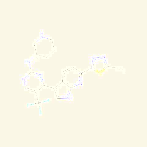 Cc1nnc(-c2ccc3c(-c4nc(N[C@H]5CCCNC5)ncc4C(F)(F)F)c[nH]c3n2)s1